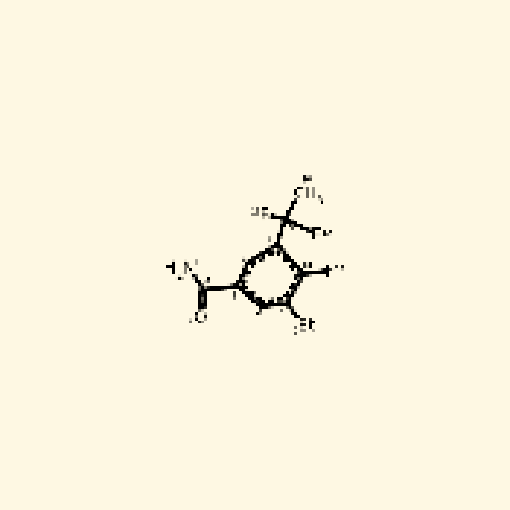 CCc1cc(C(N)=O)cc(C(C)(F)F)c1F